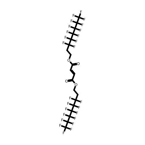 O=C(C=CC(=O)OCCC(F)(F)C(F)(F)C(F)(F)C(F)(F)C(F)(F)C(F)(F)F)OCCC(F)(F)C(F)(F)C(F)(F)C(F)(F)C(F)(F)C(F)(F)F